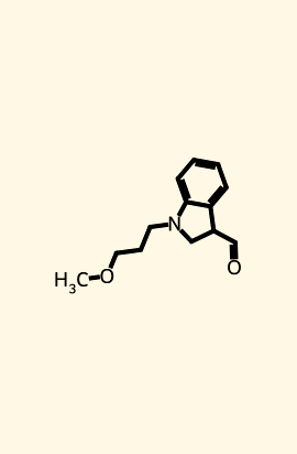 COCCCN1CC(C=O)c2ccccc21